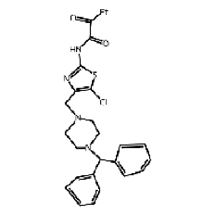 CCC(=O)C(=O)Nc1nc(CN2CCN(C(c3ccccc3)c3ccccc3)CC2)c(Cl)s1